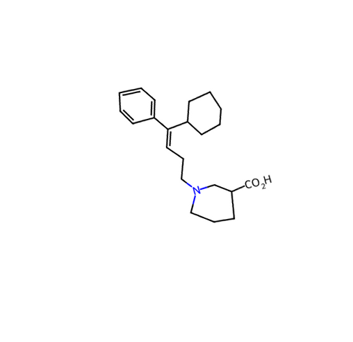 O=C(O)C1CCCN(CCC=C(c2ccccc2)C2CCCCC2)C1